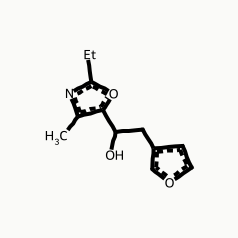 CCc1nc(C)c(C(O)Cc2ccoc2)o1